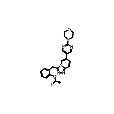 FC(F)Oc1ccccc1Cc1nnc2ccc(-c3cnc(N4CCOCC4)nc3)cn12